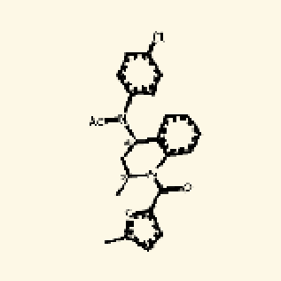 CC(=O)N(c1ccc(Cl)cc1)[C@@H]1C[C@H](C)N(C(=O)c2ccc(C)s2)c2ccccc21